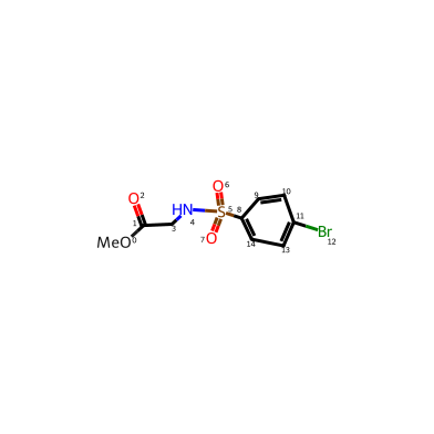 COC(=O)CNS(=O)(=O)c1ccc(Br)cc1